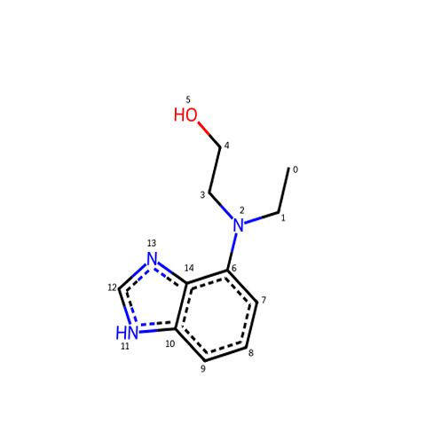 CCN(CCO)c1cccc2[nH]cnc12